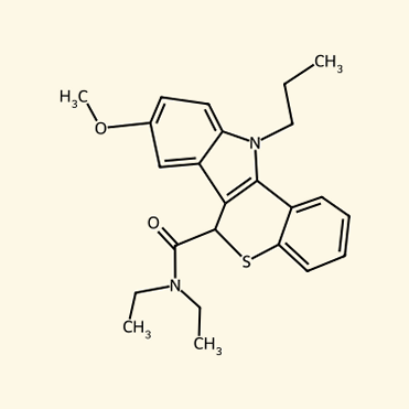 CCCn1c2c(c3cc(OC)ccc31)C(C(=O)N(CC)CC)Sc1ccccc1-2